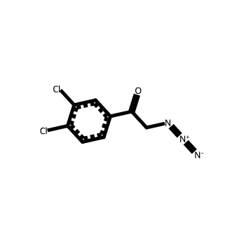 [N-]=[N+]=NCC(=O)c1ccc(Cl)c(Cl)c1